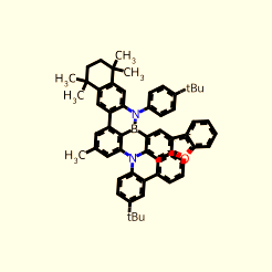 Cc1cc2c3c(c1)N(c1ccc(C(C)(C)C)cc1-c1ccccc1)c1cc4oc5ccccc5c4cc1B3N(c1ccc(C(C)(C)C)cc1)c1cc3c(cc1-2)C(C)(C)CCC3(C)C